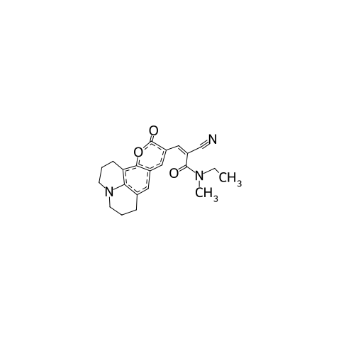 CCN(C)C(=O)C(C#N)=Cc1cc2cc3c4c(c2oc1=O)CCCN4CCC3